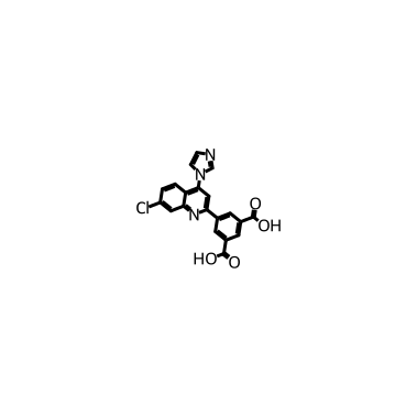 O=C(O)c1cc(C(=O)O)cc(-c2cc(-n3ccnc3)c3ccc(Cl)cc3n2)c1